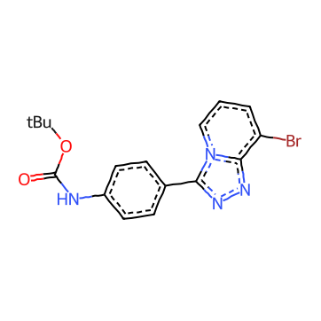 CC(C)(C)OC(=O)Nc1ccc(-c2nnc3c(Br)cccn23)cc1